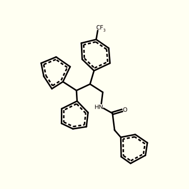 O=C(Cc1ccccc1)NCC(c1ccc(C(F)(F)F)cc1)C(c1ccccc1)c1ccccc1